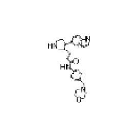 O=C(/C=C/C1=C(c2ccc3nccn3c2)C=CNC1)Nc1ccc(CN2CCOCC2)cc1